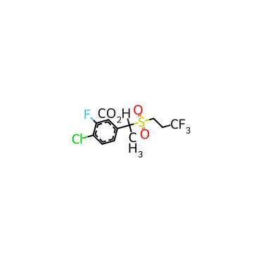 CC(C(=O)O)(c1ccc(Cl)c(F)c1)S(=O)(=O)CCC(F)(F)F